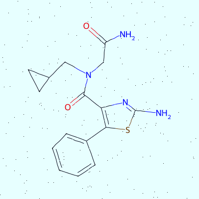 NC(=O)CN(CC1CC1)C(=O)c1nc(N)sc1-c1ccccc1